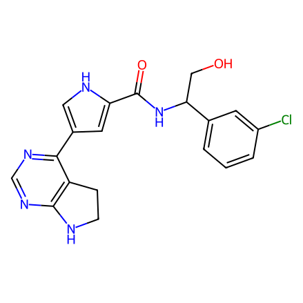 O=C(NC(CO)c1cccc(Cl)c1)c1cc(-c2ncnc3c2CCN3)c[nH]1